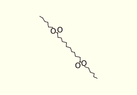 CCCCCCOC(=O)CCCCCCCCCCC(=O)OCCCCCC